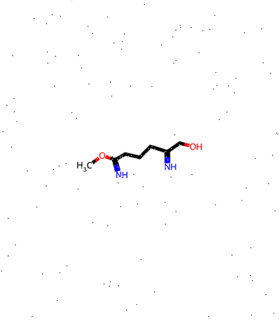 COC(=N)CCCC(=N)CO